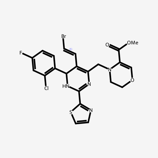 COC(=O)C1=COCCN1CC1=C(/C=C/Br)C(c2ccc(F)cc2Cl)NC(c2nccs2)=N1